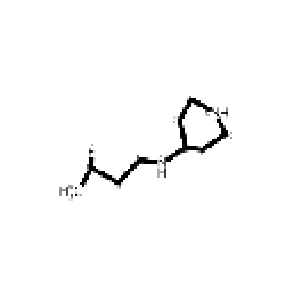 CC(F)CCNC1CCNCC1